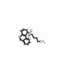 CCCCCS(=O)(=O)C1CC=Cc2ncc3ccccc3c21